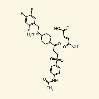 CC(=O)Nc1ccc(S(=O)(=O)CCC(=O)N2CCC([C@H](N)Cc3cc(F)c(F)cc3F)CC2)cc1.O=C(O)C=CC(=O)O